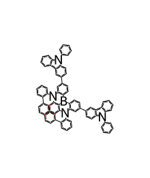 c1ccc(-c2ccccc2N2c3cc(-c4ccc5c(c4)c4ccccc4n5-c4ccccc4)ccc3B3c4ccc(-c5ccc6c(c5)c5ccccc5n6-c5ccccc5)cc4N(c4ccccc4-c4ccccc4)c4cccc2c43)cc1